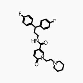 O=C(NCCC(c1ccc(F)cc1)c1ccc(F)cc1)c1ccc(=O)n(CCN2CCCCC2)c1